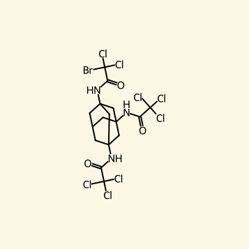 O=C(NC12CC3CC(NC(=O)C(Cl)(Cl)Cl)(C1)CC(NC(=O)C(Cl)(Cl)Br)(C3)C2)C(Cl)(Cl)Cl